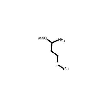 COC(N)CCOC(C)(C)C